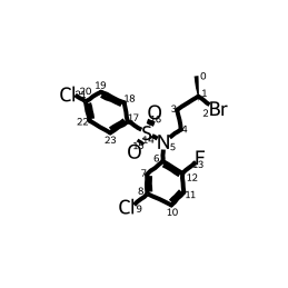 C[C@@H](Br)CCN(c1cc(Cl)ccc1F)S(=O)(=O)c1ccc(Cl)cc1